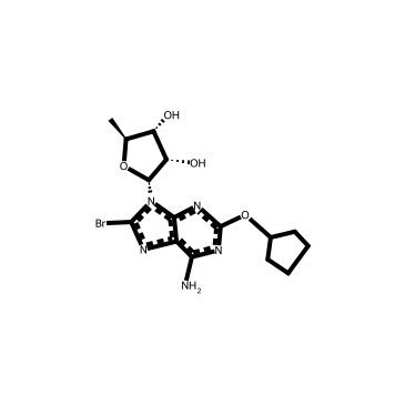 C[C@@H]1O[C@@H](n2c(Br)nc3c(N)nc(OC4CCCC4)nc32)[C@@H](O)[C@H]1O